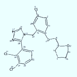 Clc1ccc(OCC2CCCCO2)c(Cn2nnnc2-c2cccc(Cl)c2Cl)c1